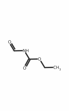 CCOC(=O)N[C]=O